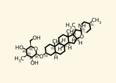 C[C@H]1CC[C@]2(NC1)O[C@H]1C[C@H]3[C@@H]4CC[C@H]5C[C@@H](O[C@@H]6O[C@H](CO)[C@H](O)[C@H](C)[C@H]6O)CC[C@]5(C)[C@H]4CC[C@]3(C)[C@H]1[C@@H]2C